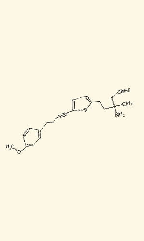 COc1ccc(CCC#Cc2ccc(CCC(C)(N)CO)s2)cc1